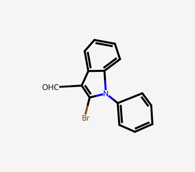 O=Cc1c(Br)n(-c2ccccc2)c2ccccc12